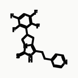 Fc1cc(F)c(F)c(C2Cc3c(CCc4ccncc4)[nH]c(=S)n3C2)c1F